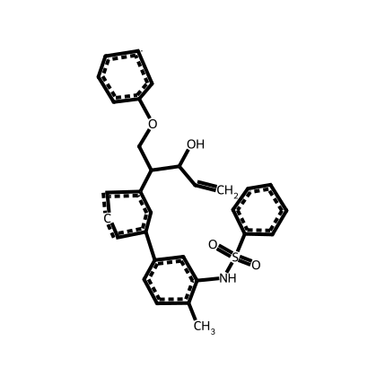 C=CC(O)C(COc1c[c]ccc1)c1cccc(-c2ccc(C)c(NS(=O)(=O)c3ccccc3)c2)c1